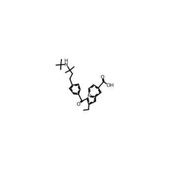 CCc1cc2cc(C(=O)O)ccn2c1C(=O)c1ccc(CCC(C)(C)NC(C)(C)C)cc1